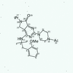 COc1ccccc1CC(C)(C)Nc1nc(N2CCN(C(C)=O)CC2)nc2c1CN(C(C)C)C2=O